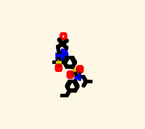 CCc1ccc(N(CC(C)C)S(=O)(=O)c2ccc(N3CCC4(COC4)C3)c(S(C)(=N)=O)c2)cc1